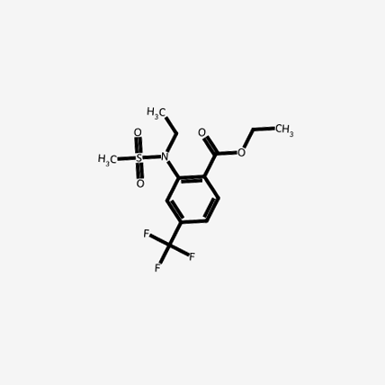 CCOC(=O)c1ccc(C(F)(F)F)cc1N(CC)S(C)(=O)=O